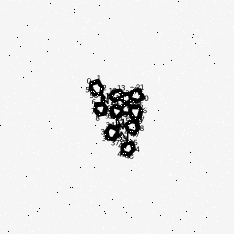 C1=CCC(N(c2ccccc2)c2ccc3c(c2)C2(c4ccccc4-3)c3ccccc3-c3c(N4c5ccccc5N(c5ccccc5)C5=CC=CCC54)cccc32)C=C1